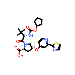 CC(C)(C)[C@H](NC(=O)OC1CCCC1)C(=O)N1C[C@H](Oc2ccnc(-c3nccs3)c2)C[C@H]1C(=O)O